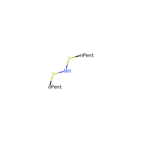 CCCCCSNSCCCCC